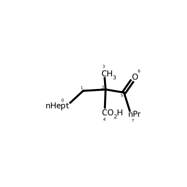 CCCCCCCCC(C)(C(=O)O)C(=O)CCC